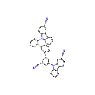 N#Cc1cc(-c2cccc(-c3ccccc3-n3c4ccccc4c4cc(C#N)ccc43)c2)cc(-n2c3ccccc3c3ccc(C#N)cc32)c1